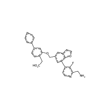 NCc1nccc(-c2cc(COc3cc(-c4ccccc4)ccc3CC(=O)O)cc3ccoc23)c1F